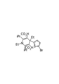 CCN1C(C(C)C)=C(C(=O)O)C(CC)(c2ccc(Br)s2)C(C(=O)O)=C1C(C)C